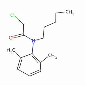 CCCCCN(C(=O)CCl)c1c(C)cccc1C